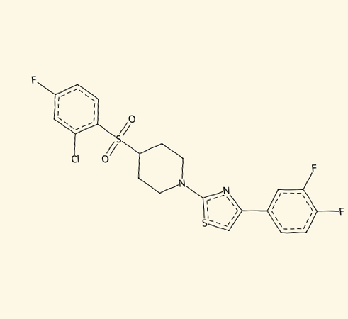 O=S(=O)(c1ccc(F)cc1Cl)C1CCN(c2nc(-c3ccc(F)c(F)c3)cs2)CC1